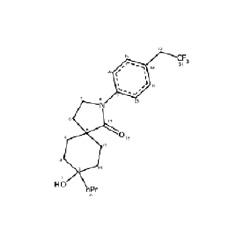 CCCC1(O)CCC2(CCN(c3ccc(CC(F)(F)F)cc3)C2=O)CC1